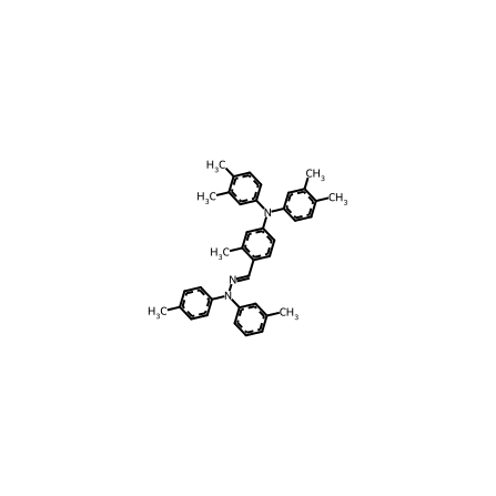 Cc1ccc(N(/N=C/c2ccc(N(c3ccc(C)c(C)c3)c3ccc(C)c(C)c3)cc2C)c2cccc(C)c2)cc1